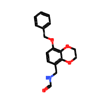 O=CNCc1ccc(OCc2ccccc2)c2c1OCCO2